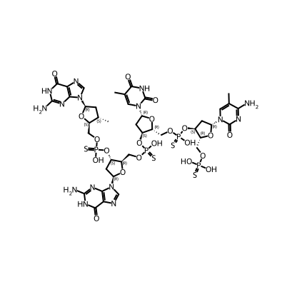 Cc1cn([C@H]2C[C@H](OP(O)(=S)OC[C@H]3O[C@@H](n4cc(C)c(=O)[nH]c4=O)C[C@@H]3OP(O)(=S)OC[C@H]3O[C@@H](n4cnc5c(=O)[nH]c(N)nc54)C[C@@H]3OP(O)(=S)OC[C@H]3O[C@@H](n4cnc5c(=O)[nH]c(N)nc54)C[C@@H]3C)[C@@H](COP(O)(O)=S)O2)c(=O)nc1N